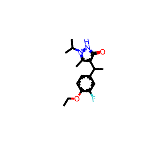 CCOc1ccc(C(C)c2c(C)n(C(C)C)[nH]c2=O)cc1F